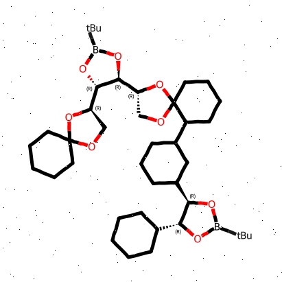 CC(C)(C)B1O[C@@H]([C@H]2COC3(CCCCC3)O2)[C@H]([C@H]2COC3(CCCCC3C3CCCC([C@H]4OB(C(C)(C)C)O[C@@H]4C4CCCCC4)C3)O2)O1